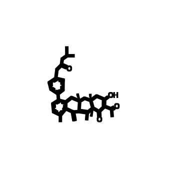 C=C1C2=C(C)[C@@]3(C)C(=O)C(C(C)=O)=C(O)C[C@@]3(C)C[C@@]2(C)Cc2c(-c3ccc(CC(=O)CC(C)C)cc3)ccc(C)c21